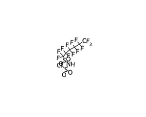 O=S(=O)(Cl)NS(=O)(=O)C(F)(F)C(F)(F)C(F)(F)C(F)(F)C(F)(F)C(F)(F)F